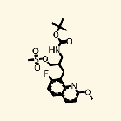 COc1ccc2ccc(F)c(CC(CNC(=O)OC(C)(C)C)COS(C)(=O)=O)c2n1